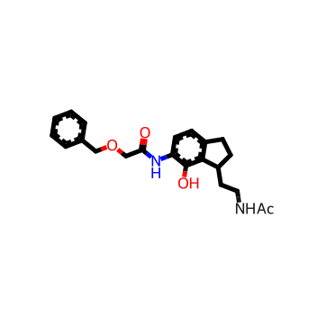 CC(=O)NCCC1CCc2ccc(NC(=O)COCc3ccccc3)c(O)c21